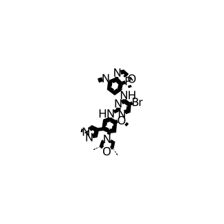 C=Nc1ccc(Nc2nc(Nc3cc(-c4cnn(C)c4)c(N4C[C@@H](C)O[C@@H](C)C4)cc3OC)ncc2Br)c(P(C)(C)=O)c1/N=C\C